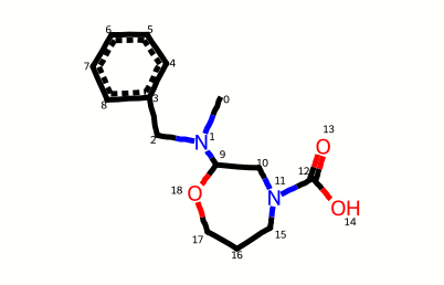 CN(Cc1ccccc1)C1CN(C(=O)O)CCCO1